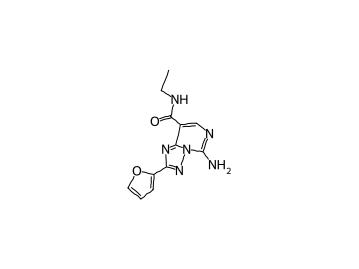 CCNC(=O)c1cnc(N)n2nc(-c3ccco3)nc12